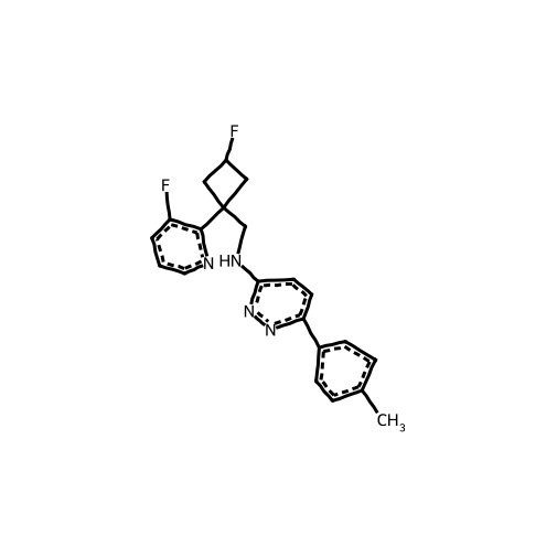 Cc1ccc(-c2ccc(NCC3(c4ncccc4F)CC(F)C3)nn2)cc1